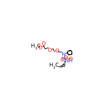 C=C[C@@H]1C[C@@H]1C(=O)NS(=O)(=O)c1ccccc1NCCOCCOCCC(=O)OC